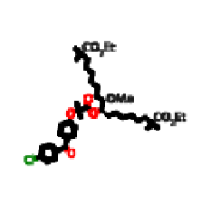 CCOC(=O)C(C)(C)CCCCCC[C@H](OC)[C@@H](CCCCCCC(C)(C)C(=O)OCC)OC(=O)C(C)(C)Oc1ccc(C(=O)c2ccc(Cl)cc2)cc1